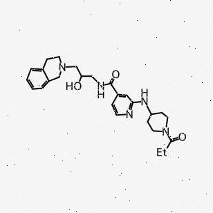 CCC(=O)N1CCC(Nc2cc(C(=O)NCC(O)CN3CCc4ccccc4C3)ccn2)CC1